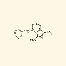 Cc1nc(N)n2cccc(OCc3ccccc3)c12